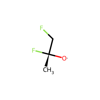 C[C@@]([O])(F)CF